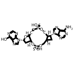 Nc1ncnc2c1ncn2[C@@H]1C[C@@H]2COP(O)(=S)O[C@H]3C[C@H](n4cnc5c(O)ncnc54)O[C@@H]3COP(O)(=S)OC[C@H]21